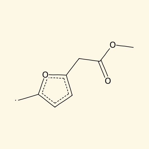 [CH2]c1ccc(CC(=O)OC)o1